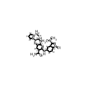 CCn1nc(N(C)C)c2cc(Nc3nc(N[C@@H](CN)Cn4cccn4)c(F)cc3C(N)=O)ccc21